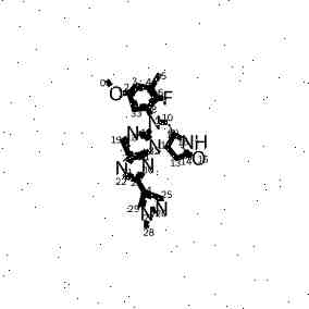 COc1cc(C)c(F)c(N(C[C@H]2CCC(=O)N2)c2ncc3ncc(-c4cnn(C)c4)nc3n2)c1